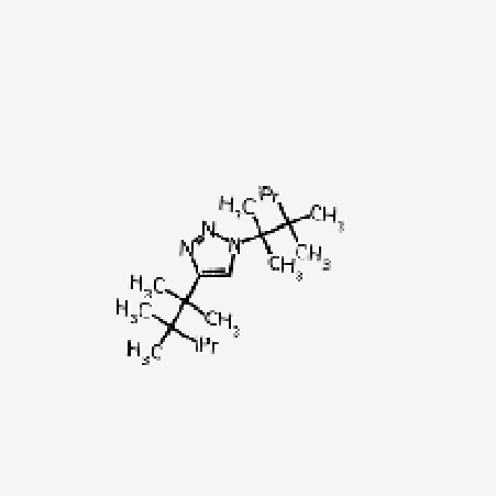 CC(C)C(C)(C)C(C)(C)c1cn(C(C)(C)C(C)(C)C(C)C)nn1